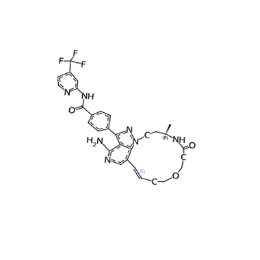 C[C@@H]1CCn2nc(-c3ccc(C(=O)Nc4cc(C(F)(F)F)ccn4)cc3)c3c(N)ncc(c32)/C=C/CCOCCC(=O)N1